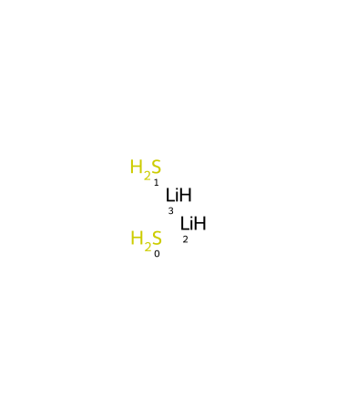 S.S.[LiH].[LiH]